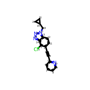 Clc1c(C#Cc2ccccn2)ccc2c1nnn2CC1CC1